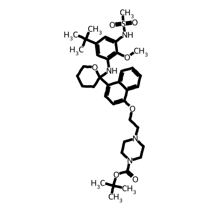 COc1c(NC2(c3ccc(OCCN4CCN(C(=O)OC(C)(C)C)CC4)c4ccccc34)CCCCO2)cc(C(C)(C)C)cc1NS(C)(=O)=O